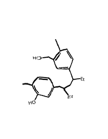 CCC(c1ccc(C)c(O)c1)C(CC)c1ccc(C)c(O)c1